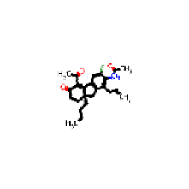 C=CCc1c2c(cc(F)c1NC(C)=O)C1=C(C(C)=O)C(=O)CCC1(CCCC)C2